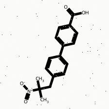 CC(C)(Cc1ccc(-c2ccc(C(=O)O)cc2)cc1)[N+](=O)[O-]